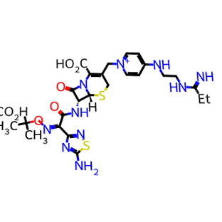 CCC(=N)NCCNc1cc[n+](CC2=C(C(=O)O)N3C(=O)[C@@H](NC(=O)/C(=N\OC(C)(C)C(=O)O)c4nsc(N)n4)[C@H]3SC2)cc1